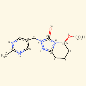 O=C(O)O[C@H]1CCCc2nn(Cc3cnc(C(F)(F)F)nc3)c(=O)n21